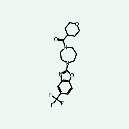 O=C(C1CCOCC1)N1CCCN(c2nc3cc(C(F)(F)F)ccc3o2)CC1